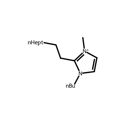 CCCCCCCCCc1n(CCCC)cc[n+]1C